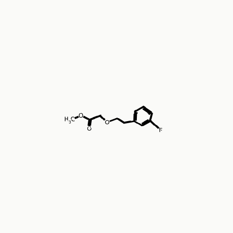 COC(=O)COCCc1cccc(F)c1